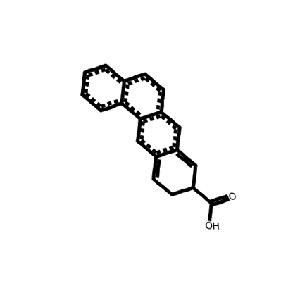 O=C(O)C1C=c2cc3ccc4ccccc4c3cc2=CC1